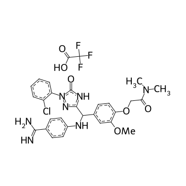 COc1cc(C(Nc2ccc(C(=N)N)cc2)c2nn(-c3ccccc3Cl)c(=O)[nH]2)ccc1OCC(=O)N(C)C.O=C(O)C(F)(F)F